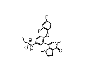 CCS(=O)(=O)Nc1ccc(Oc2ccc(F)cc2F)c(-c2cn(C)c(=O)c3ccn(C)c23)c1